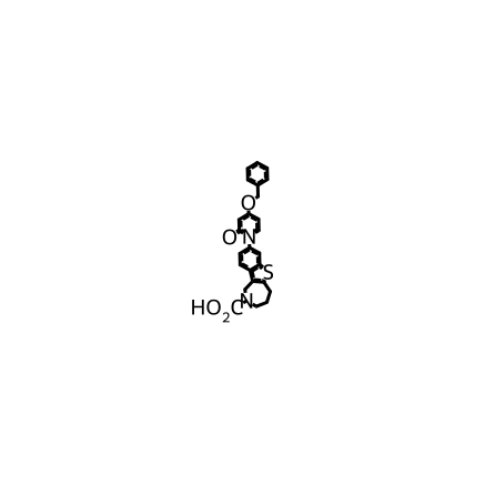 O=C(O)N1CCCc2sc3cc(-n4ccc(OCc5ccccc5)cc4=O)ccc3c2C1